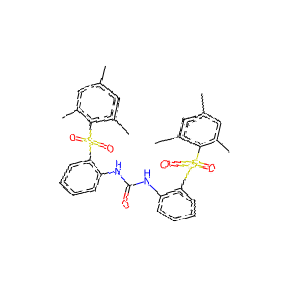 Cc1cc(C)c(S(=O)(=O)c2ccccc2NC(=O)Nc2ccccc2S(=O)(=O)c2c(C)cc(C)cc2C)c(C)c1